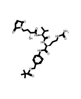 CC(C)[C@H](NC(=O)[C@H](S)CCN1C(=O)C=CC1=O)C(=O)N[C@@H](CCCNC(N)=O)C(=O)Nc1ccc(COC(=O)C(C)(C)C)cc1